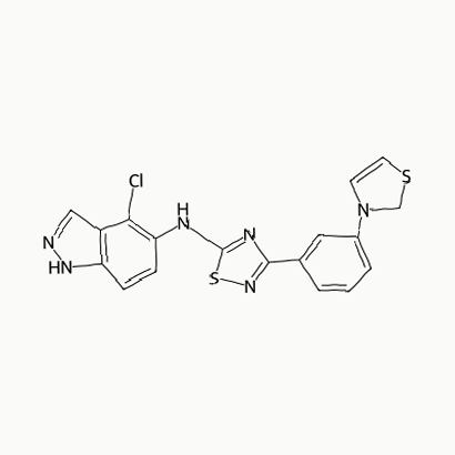 Clc1c(Nc2nc(-c3cccc(N4C=CSC4)c3)ns2)ccc2[nH]ncc12